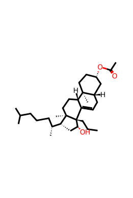 CCC[C@]12C3=CC[C@H]4C[C@@H](OC(C)=O)CC[C@]4(C)[C@H]3CC[C@]1(C)[C@@H]([C@H](C)CCCC(C)C)C[C@H]2O